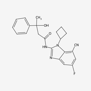 CC(O)(CC(=O)Nc1nc2cc(F)cc(C#N)c2n1C1CCC1)c1ccccc1